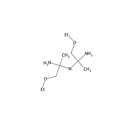 CCOCC(C)(N)[N]C(C)(N)COCC